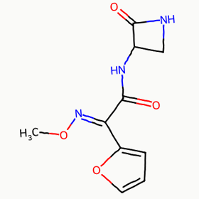 CO/N=C(/C(=O)NC1CNC1=O)c1ccco1